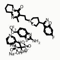 Cc1nc2n(c(=O)c1CCN1CCC(c3noc4cc(F)ccc34)CC1)CCCC2.Nc1nc2ccc(OC(F)(F)F)cc2s1.O=P([O-])(O)C(O)(Cc1cccnc1)P(=O)(O)O.[Na+]